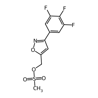 CS(=O)(=O)OCc1cc(-c2cc(F)c(F)c(F)c2)no1